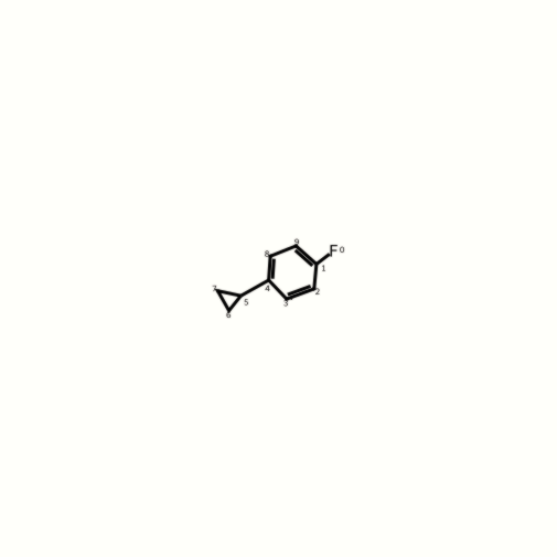 Fc1c[c]c(C2CC2)cc1